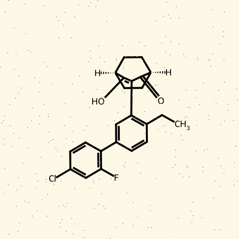 CCc1ccc(-c2ccc(Cl)cc2F)cc1C1=C(O)[C@H]2CC[C@H](CC2)C1=O